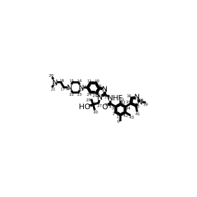 Cc1cc(C(=O)Nc2nc3ccc(N4CCN(CCN(C)C)CC4)cc3n2CC(C)(C)O)c(F)c(-c2cnn(C)c2C)c1C